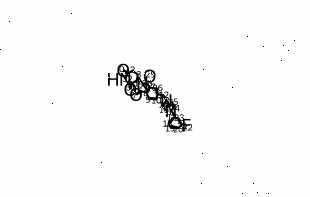 O=C1CCC(N2C(=O)c3ccc(CN4CCN(c5cccc(F)c5)CC4)cc3C2=O)C(=O)N1